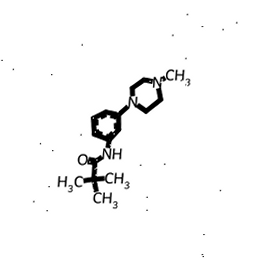 CN1CCN(c2cccc(NC(=O)C(C)(C)C)c2)CC1